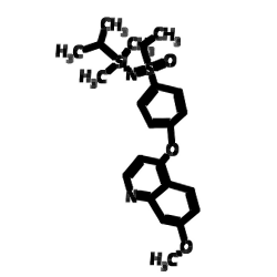 CCS(=O)(=N[Si](C)(C)C(C)C)c1ccc(Oc2ccnc3cc(OC)ccc23)cc1